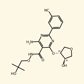 CC(C)(O)CONC(=O)c1c(N)nc(-c2cccc(C#N)c2)nc1O[C@@H]1COC[C@H]1O